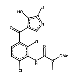 CCn1ncc(C(=O)c2ccc(Cl)c(NC(=O)N(C)OC)c2Cl)c1O